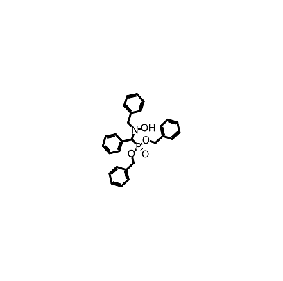 O=P(OCc1ccccc1)(OCc1ccccc1)C(c1ccccc1)N(O)Cc1ccccc1